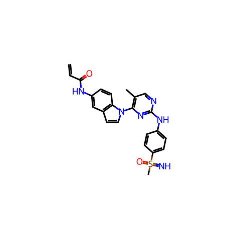 C=CC(=O)Nc1ccc2c(ccn2-c2nc(Nc3ccc(S(C)(=N)=O)cc3)ncc2C)c1